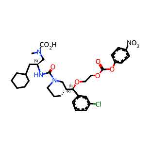 CN(C[C@H](CC1CCCCC1)NC(=O)N1CCC[C@@H]([C@@H](OCCOC(=O)Oc2ccc([N+](=O)[O-])cc2)c2cccc(Cl)c2)C1)C(=O)O